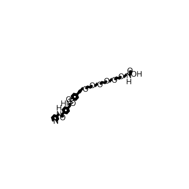 O=C(O)NCCOCCOCCOCCOCCOCCOCC#Cc1ccc(S(=O)(=O)NCc2ccc(C(=O)Nc3cccnc3)cc2)cc1